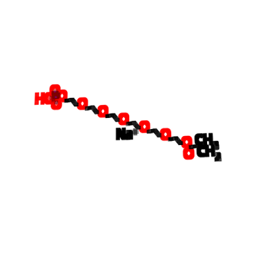 C=C(C)C(=O)OCCCOCCCOCCCOCCCOCCCOCCCOP(=O)([O-])O.[Na+]